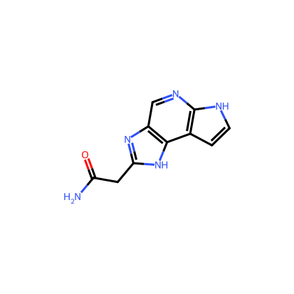 NC(=O)Cc1nc2cnc3[nH]ccc3c2[nH]1